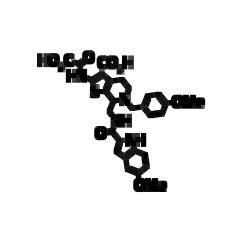 COc1ccc(CN2CCc3c(sc(NC(=O)C(=O)O)c3C(=O)O)C2CNC(=O)c2cc3cc(OC)ccc3[nH]2)cc1